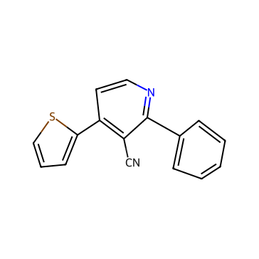 N#Cc1c(-c2cccs2)ccnc1-c1ccccc1